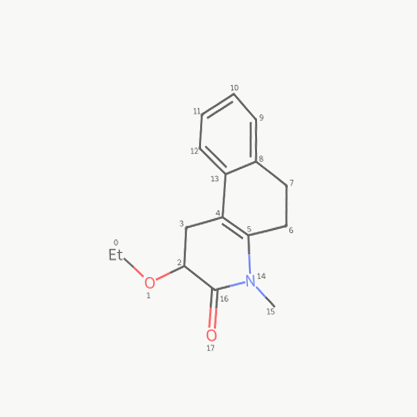 CCOC1CC2=C(CCc3ccccc32)N(C)C1=O